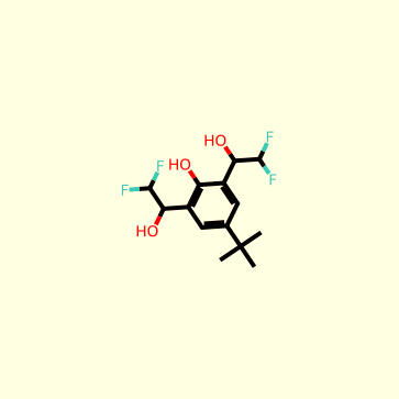 CC(C)(C)c1cc(C(O)C(F)F)c(O)c(C(O)C(F)F)c1